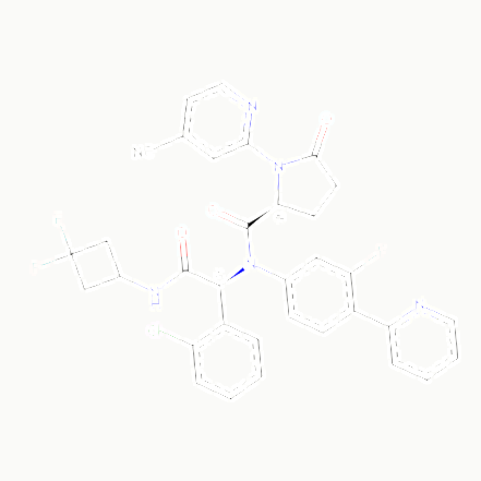 N#Cc1ccnc(N2C(=O)CC[C@H]2C(=O)N(c2ccc(-c3ccccn3)c(F)c2)[C@H](C(=O)NC2CC(F)(F)C2)c2ccccc2Cl)c1